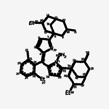 Bn1c(/C(=C2/C=CC(C34CC(C)CC(CC(CC)C3)C4)=N2)c2c(C)cccc2CC)ccc1C12CC(C)CC(CC(CC)C1)C2